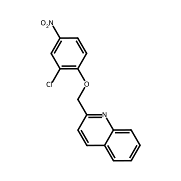 O=[N+]([O-])c1ccc(OCc2ccc3ccccc3n2)c(Cl)c1